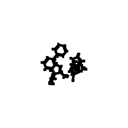 CC(C)C1=Cc2c(-c3ccccc3)cccc2[CH]1[Zr+2].CC1=C2C3=CN=CC3=C1[Si]2(C)C.[Cl-].[Cl-]